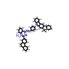 CC1(C)c2ccccc2-c2cc3c4ccccc4n(-c4ccc(C/N=C(\N=C(/N)c5ccc6c(ccc7ccccc76)c5)c5ccccc5)cc4)c3cc21